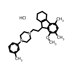 COc1c(C)cc(C)c2c1C(CCN1CCN(c3cccc(C)c3)CC1)C1=C2CCCC1.Cl